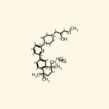 COCC(O)CN1CCN(c2cccc(-c3ccc4c(c3)C(C)(C)CCC4(C)C)n2)CC1.Cl.Cl